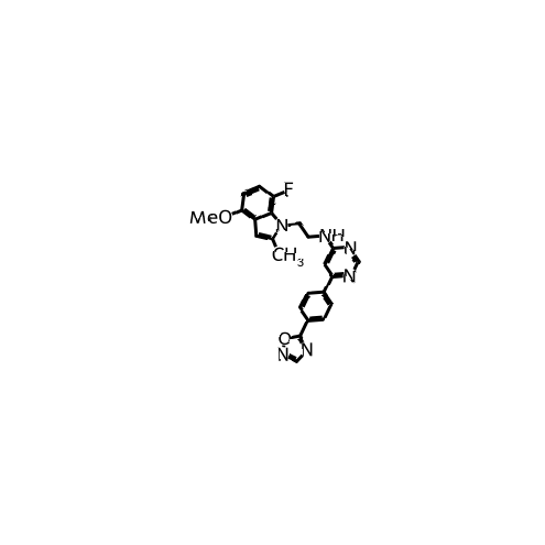 COc1ccc(F)c2c1cc(C)n2CCNc1cc(-c2ccc(-c3ncno3)cc2)ncn1